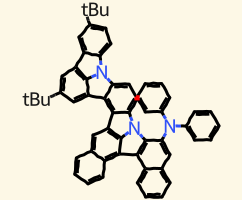 CC(C)(C)c1ccc2c(c1)c1cc(C(C)(C)C)cc3c4c5c6cc7ccccc7c7c8c9ccccc9cc(N(c9ccccc9)c9ccccc9)c8n(c5ccc4n2c13)c67